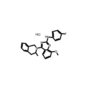 COc1cccc2c(N3Cc4ccccc4CC3C)nc(Nc3ccc(F)cc3)nc12.Cl